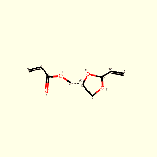 C=CC(=O)OC[C@H]1COC(C=C)O1